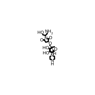 NCC(CO)N1C(=O)CC(OC[C@@]23CO[C@H](O2)[C@H](N2CCNCC2)[C@@H](O)[C@H]3O)C1=O